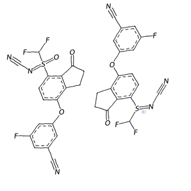 N#C/N=S(\c1ccc(Oc2cc(F)cc(C#N)c2)c2c1C(=O)CC2)C(F)F.N#CN=S(=O)(c1ccc(Oc2cc(F)cc(C#N)c2)c2c1C(=O)CC2)C(F)F